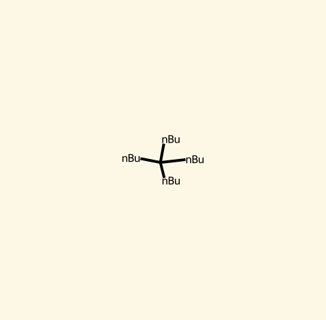 [CH2]CCCC(CCCC)(CCCC)CCCC